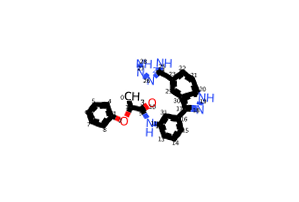 CC(Oc1ccccc1)C(=O)Nc1cccc(-c2n[nH]c3ccc(C(=N)/N=N\N)cc23)c1